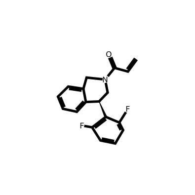 C=CC(=O)N1Cc2ccccc2[C@H](c2c(F)cccc2F)C1